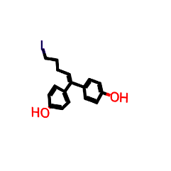 Oc1ccc(C(=CCCCI)c2ccc(O)cc2)cc1